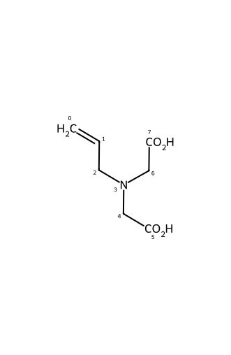 C=CCN(CC(=O)O)CC(=O)O